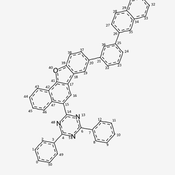 c1ccc(-c2nc(-c3ccccc3)nc(-c3cc4c5cc(-c6cccc(-c7ccc8ccccc8c7)c6)ccc5oc4c4ccccc34)n2)cc1